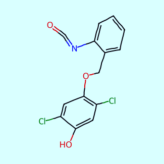 O=C=Nc1ccccc1COc1cc(Cl)c(O)cc1Cl